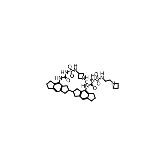 CN1CC(NS(=O)(=O)NC(=O)Nc2c3c(cc4c2CC(C2Cc5cc6c(c(NC(=O)NS(=O)(=O)NCCN7CCC7)c5C2)CCC6)C4)CCC3)C1